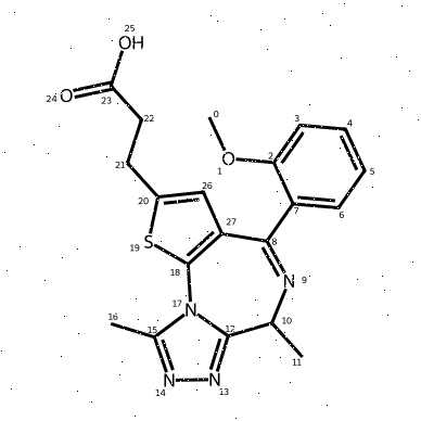 COc1ccccc1C1=NC(C)c2nnc(C)n2-c2sc(CCC(=O)O)cc21